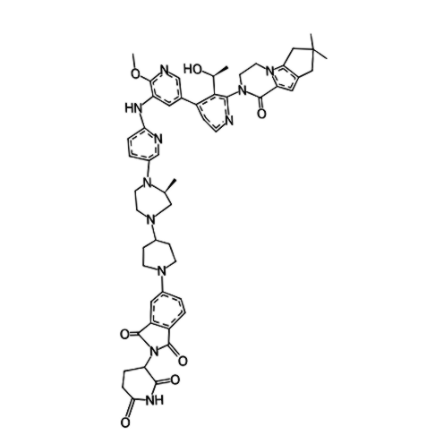 COc1ncc(-c2ccnc(N3CCn4c(cc5c4CC(C)(C)C5)C3=O)c2[C@H](C)O)cc1Nc1ccc(N2CCN(C3CCN(c4ccc5c(c4)C(=O)N(C4CCC(=O)NC4=O)C5=O)CC3)C[C@@H]2C)cn1